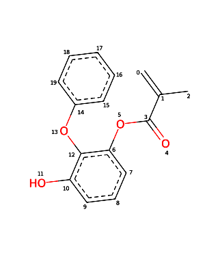 C=C(C)C(=O)Oc1cccc(O)c1Oc1ccccc1